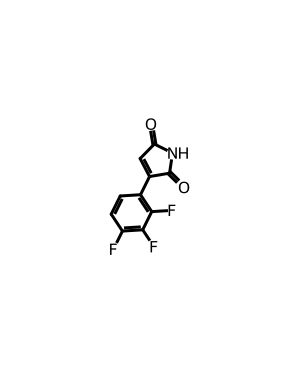 O=C1C=C(c2ccc(F)c(F)c2F)C(=O)N1